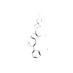 Cc1c(N2CC3(CNC3)C2)sc2nnc(-c3ccccc3O)cc12